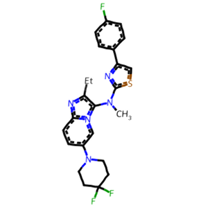 CCc1nc2ccc(N3CCC(F)(F)CC3)cn2c1N(C)c1nc(-c2ccc(F)cc2)cs1